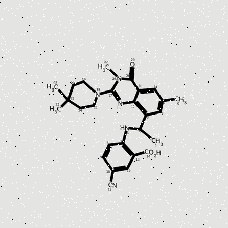 Cc1cc(C(C)Nc2ccc(C#N)cc2C(=O)O)c2nc(N3CCC(C)(C)CC3)n(C)c(=O)c2c1